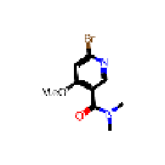 COc1cc(Br)ncc1C(=O)N(C)C